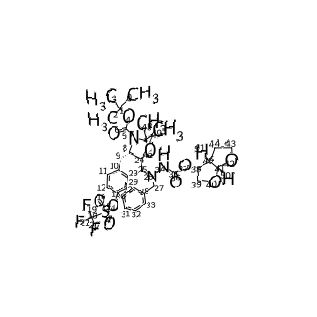 CC(C)(C)OC(=O)N1[C@@H](Cc2ccc(OS(=O)(=O)C(F)(F)F)cc2)[C@H](CN(Cc2ccccc2)NC(=O)O[C@H]2CO[C@H]3OCC[C@H]32)OC1(C)C